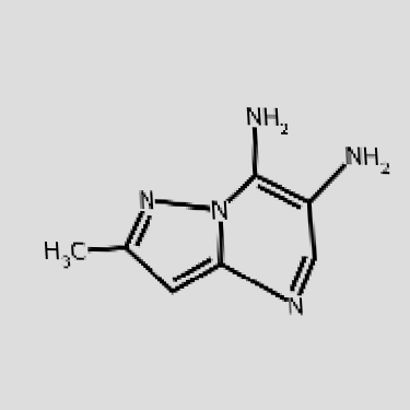 Cc1cc2ncc(N)c(N)n2n1